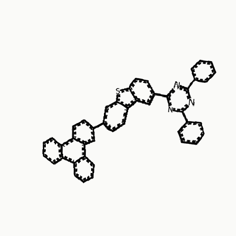 c1ccc(-c2nc(-c3ccccc3)nc(-c3ccc4sc5cc(-c6ccc7c8ccccc8c8ccccc8c7c6)ccc5c4c3)n2)cc1